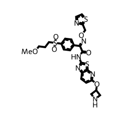 COCCCS(=O)(=O)c1ccc(/C(=N\OCc2nccs2)C(=O)Nc2nc3ccc(OC4CNC4)nc3s2)cc1